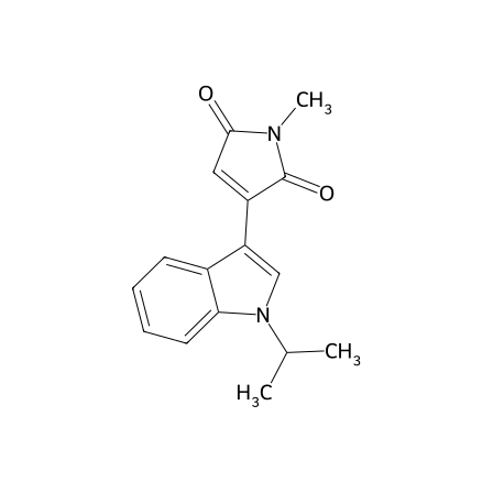 CC(C)n1cc(C2=CC(=O)N(C)C2=O)c2ccccc21